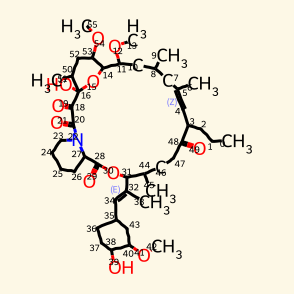 CCCC1/C=C(/C)CC(C)CC(OC)C2OC(O)(C(=O)C(=O)N3CCCCC3C(=O)OC(/C(C)=C/C3CCC(O)C(OC)C3)C(C)CCC1=O)C(C)CC2OC